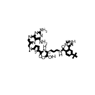 CN(Cc1cnc2nc(N)nc(N)c2n1)c1ccc(C(=O)N[C@@H](CCCNC(=O)c2ccc(C(C)(C)C)cc2-c2nn[nH]n2)C(=O)O)s1